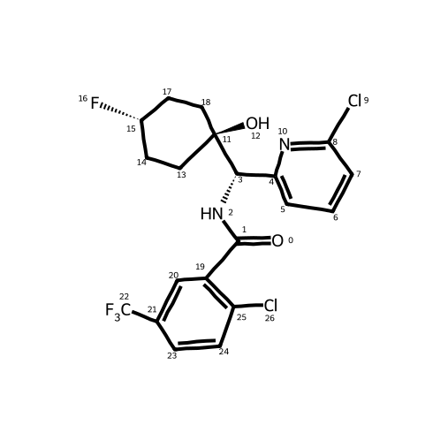 O=C(N[C@@H](c1cccc(Cl)n1)[C@]1(O)CC[C@H](F)CC1)c1cc(C(F)(F)F)ccc1Cl